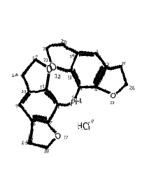 Cl.c1c2c(c(Pc3c4c(cc5c3OCC5)CCO4)c3c1CCO3)OCC2